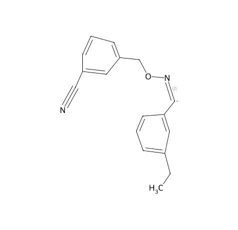 CCc1cccc(/[C]=N\OCc2cccc(C#N)c2)c1